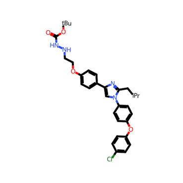 CC(C)Cc1nc(-c2ccc(OCCNNC(=O)OC(C)(C)C)cc2)cn1-c1ccc(Oc2ccc(Cl)cc2)cc1